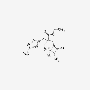 CCOC(=O)C1(Cn2nnc(C)n2)CS[C@@H]2C(N)C(=O)N2C1